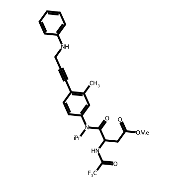 COC(=O)CC(NC(=O)C(F)(F)F)C(=O)N(c1ccc(C#CCNc2ccccc2)c(C)c1)C(C)C